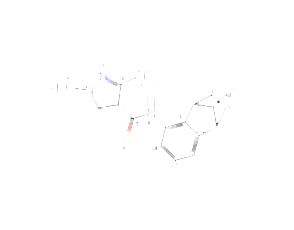 CC(C)C1C2CCC1c1c(NC(=O)C3CN(C)N=C3C(F)(F)F)cccc12